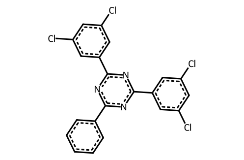 Clc1cc(Cl)cc(-c2nc(-c3ccccc3)nc(-c3cc(Cl)cc(Cl)c3)n2)c1